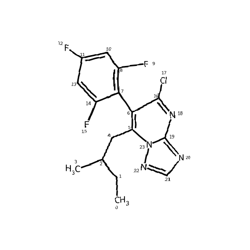 CCC(C)Cc1c(-c2c(F)cc(F)cc2F)c(Cl)nc2ncnn12